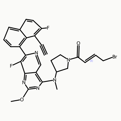 C#Cc1c(F)ccc2cccc(-c3ncc4c(N(C)C5CCN(C(=O)/C=C/CBr)C5)nc(OC)nc4c3F)c12